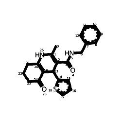 CC1=C(C(=O)NCc2ccccc2)C(c2cccs2)C2=C(CCCC2=O)N1